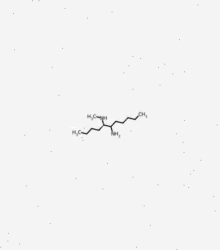 CCCCCC(N)[C@@H](CCCC)NC